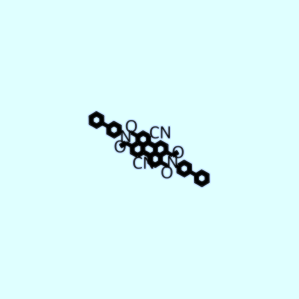 N#Cc1cc2c3c(cc(C#N)c4c5ccc6c7c(ccc(c1c34)c75)C(=O)N(c1ccc(-c3ccccc3)cc1)C6=O)C(=O)N(c1ccc(-c3ccccc3)cc1)C2=O